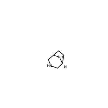 C1CC2CNCC1N2.[N]